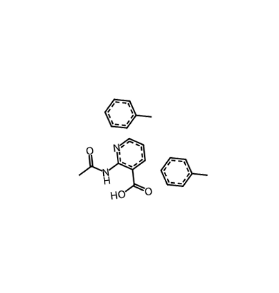 CC(=O)Nc1ncccc1C(=O)O.Cc1ccccc1.Cc1ccccc1